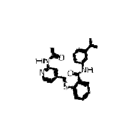 CC(=O)Nc1cc(CSc2ccccc2C(=O)Nc2cccc(C(C)C)c2)ccn1